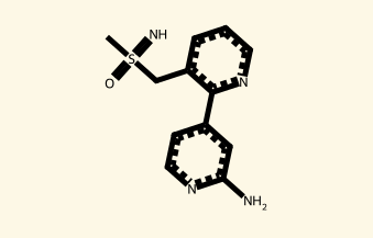 CS(=N)(=O)Cc1cccnc1-c1ccnc(N)c1